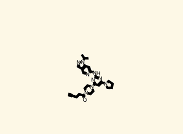 C#CCCC(=O)N1CCN(c2cc(N3CCCC3)nc(Nc3cc4c(cn3)cnn4C(C)C)n2)CC1